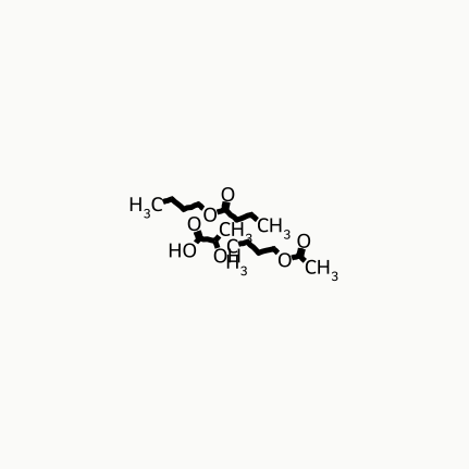 CC(O)C(=O)O.CCCCOC(=O)CCC.CCCCOC(C)=O